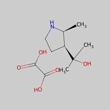 C[C@@H]1NCC[C@@H]1C(C)(C)O.O=C(O)C(=O)O